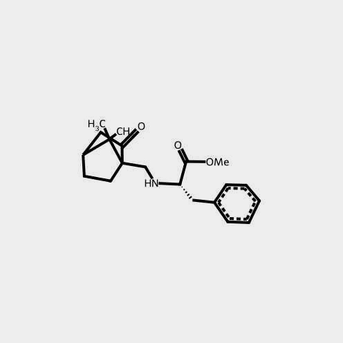 COC(=O)[C@H](Cc1ccccc1)NCC12CCC(CC1=O)C2(C)C